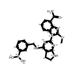 COc1nc2c(C(N)=O)cccc2n1-c1nc2c(c(NCc3cccc(B(O)O)c3)n1)CCN2